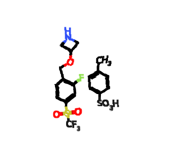 Cc1ccc(S(=O)(=O)O)cc1.O=S(=O)(c1ccc(COC2CNC2)c(F)c1)C(F)(F)F